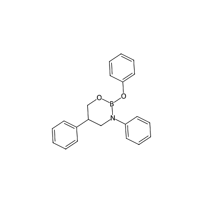 c1ccc(OB2OCC(c3ccccc3)CN2c2ccccc2)cc1